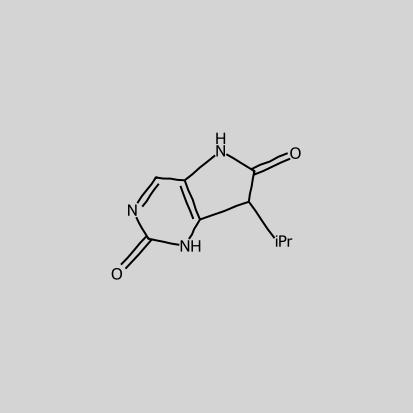 CC(C)C1C(=O)Nc2cnc(=O)[nH]c21